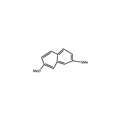 COc1ccc2ccc(SC)cc2c1